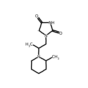 CC1CCCCN1C(C)CN1[CH]C(=O)NC1=O